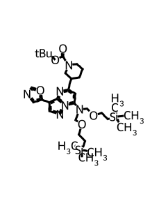 CC(C)(C)OC(=O)N1CCCC(c2cc(N(COCC[Si](C)(C)C)COCC[Si](C)(C)C)n3ncc(-c4cnco4)c3n2)C1